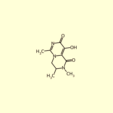 Cc1nc(=O)c(O)c2n1CC(C)N(C)C2=O